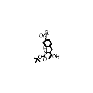 C=C(O)[C@H](Cc1ccc([N+](=O)[O-])cc1)NC(=O)OC(C)(C)C